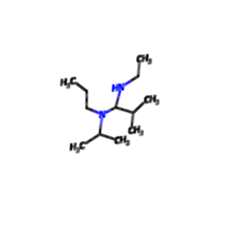 CCCN(C(C)C)C(NCC)C(C)C